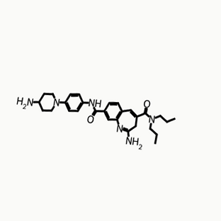 CCCN(CCC)C(=O)C1=Cc2ccc(C(=O)Nc3ccc(N4CCC(N)CC4)cc3)cc2N=C(N)C1